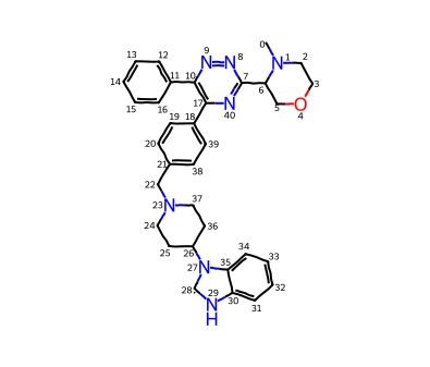 CN1CCOCC1c1nnc(-c2ccccc2)c(-c2ccc(CN3CCC(N4[CH]Nc5ccccc54)CC3)cc2)n1